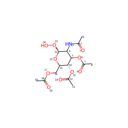 CC(=O)NC1C(OC(C)=O)[C@H](OC(C)=O)C(COC(C)=O)O[C@H]1OO